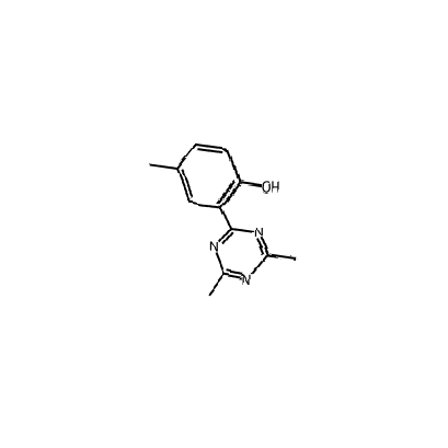 Cc1ccc(O)c(-c2nc(C)nc(C)n2)c1